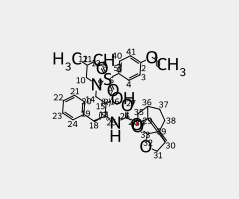 COc1ccc(S(=O)(=O)N(CC(C)C)C[C@@H](O)[C@H](Cc2ccccc2)NC(=O)OC2=C3COC4OCC2CCC34)cc1